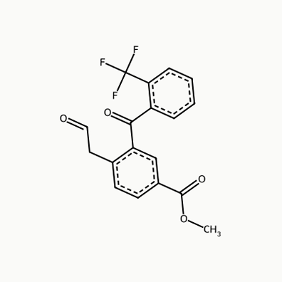 COC(=O)c1ccc(CC=O)c(C(=O)c2ccccc2C(F)(F)F)c1